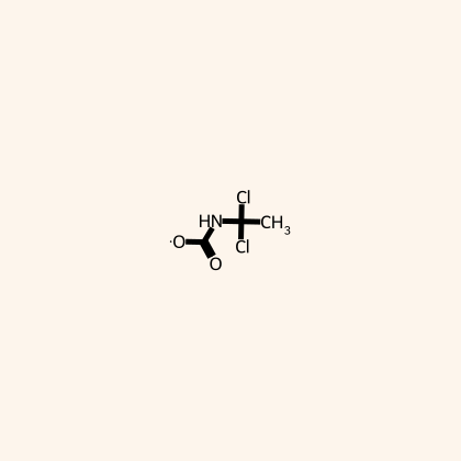 CC(Cl)(Cl)NC([O])=O